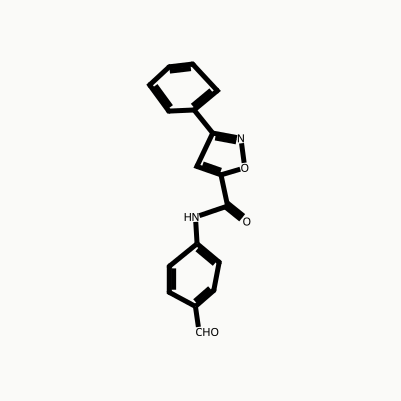 O=Cc1ccc(NC(=O)c2cc(-c3ccccc3)no2)cc1